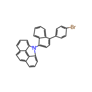 Brc1ccc(-c2ccc(-n3c4cccc5ccc6cccc3c6c54)c3ccccc23)cc1